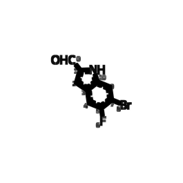 O=Cc1cc2cc(F)c(Br)cc2[nH]1